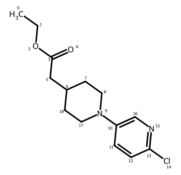 CCOC(=O)CC1CCN(c2ccc(Cl)nc2)CC1